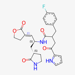 O=C1OCC/C1=C\[C@H](C[C@@H]1CCNC1=O)NC(=O)C(CC(=O)c1ccc[nH]1)Cc1ccc(F)cc1